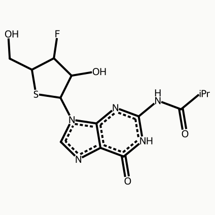 CC(C)C(=O)Nc1nc2c(ncn2C2SC(CO)C(F)C2O)c(=O)[nH]1